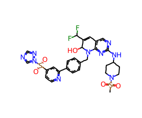 CS(=O)(=O)N1CCC(Nc2ncc3c(n2)N(Cc2ccc(-c4cc(S(=O)(=O)n5cncn5)ccn4)cc2)C(O)C(C(F)F)=C3)CC1